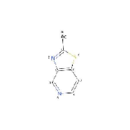 CC(=O)c1nc2cnccc2s1